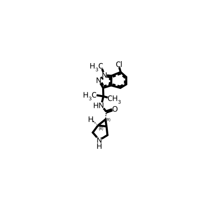 Cn1nc(C(C)(C)NC(=O)[C@@H]2C3CNC[C@H]32)c2cccc(Cl)c21